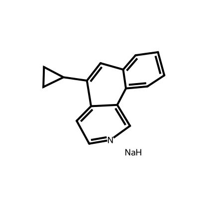 [NaH].c1ccc2c(c1)cc(C1CC1)c1ccncc12